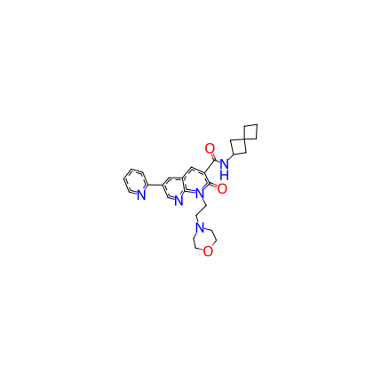 O=C(NC1CC2(CCC2)C1)c1cc2cc(-c3ccccn3)cnc2n(CCN2CCOCC2)c1=O